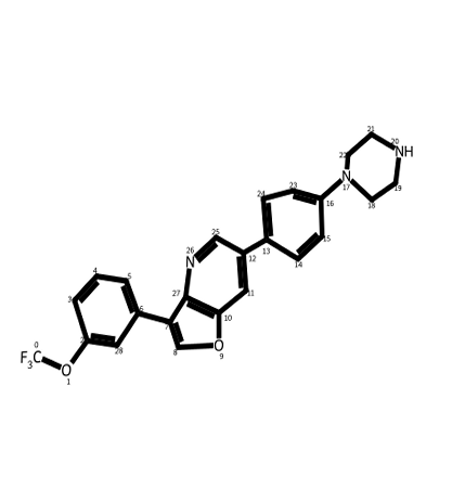 FC(F)(F)Oc1cccc(-c2coc3cc(-c4ccc(N5CCNCC5)cc4)cnc23)c1